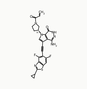 C=CC(=O)N1CC[C@H](n2cc(C#Cc3c(F)cc4sc(C5CC5)nc4c3F)c3c(N)n[nH]c(=O)c32)C1